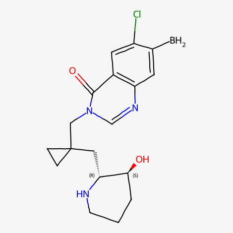 Bc1cc2ncn(CC3(C[C@H]4NCCC[C@@H]4O)CC3)c(=O)c2cc1Cl